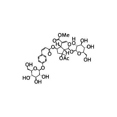 COC(=O)C1=CO[C@@H](O[C@@H]2O[C@H](CO)[C@@H](O)[C@H](O)[C@H]2O)[C@H]2[C@@H]1[C@H](OC(=O)/C=C\c1ccc(O[C@@H]3O[C@H](CO)[C@@H](O)[C@H](O)[C@H]3O)cc1)C[C@]2(C)OC(C)=O